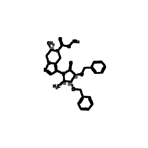 C[C@@H]1[C@@H](OCc2ccccc2)[C@H](OCc2ccccc2)C(=O)N1c1cnn2c1CN(C(=O)OC(C)(C)C)[C@@H](C)C2